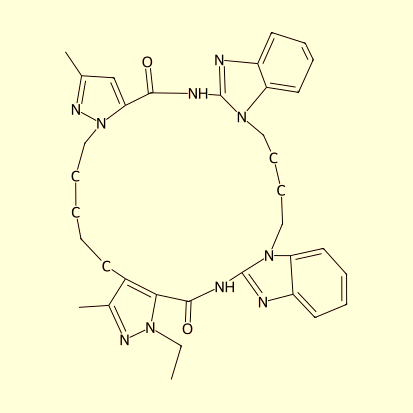 CCn1nc(C)c2c1C(=O)Nc1nc3ccccc3n1CCCCn1c(nc3ccccc31)NC(=O)c1cc(C)nn1CCCCC2